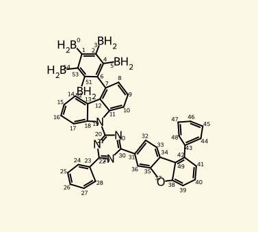 Bc1c(B)c(B)c(-c2cccc3c2c2ccccc2n3-c2nc(-c3ccccc3)nc(-c3ccc4c(c3)oc3cccc(-c5ccccc5)c34)n2)c(B)c1B